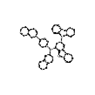 c1ccc2cc(-c3ccc(N(c4ccc5ccccc5c4)c4cc(-n5c6ccccc6c6ccccc65)cc5c4oc4ccccc45)cc3)ccc2c1